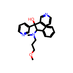 COCCCN(C)C(c1ccccc1)C(O)(c1cccnc1)c1cccnc1